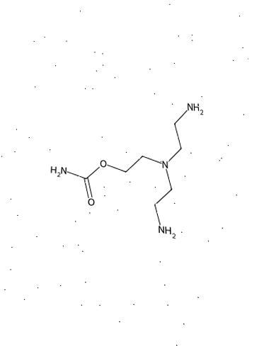 NCCN(CCN)CCOC(N)=O